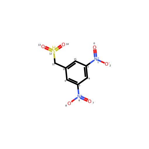 O=[N+]([O-])c1[c]c([N+](=O)[O-])cc(C[SH](=O)=O)c1